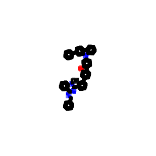 C=N/C(=N\C(=N/Cc1ccccc1)c1ccccc1)c1cccc(-c2ccc3c(c2)oc2cc(-n4c5ccccc5c5ccc(-c6ccccc6)cc54)ccc23)c1